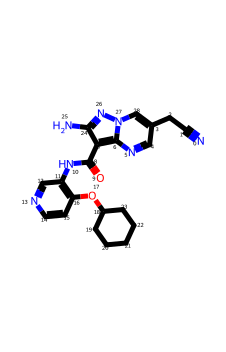 N#CCc1cnc2c(C(=O)Nc3cnccc3OC3CCCCC3)c(N)nn2c1